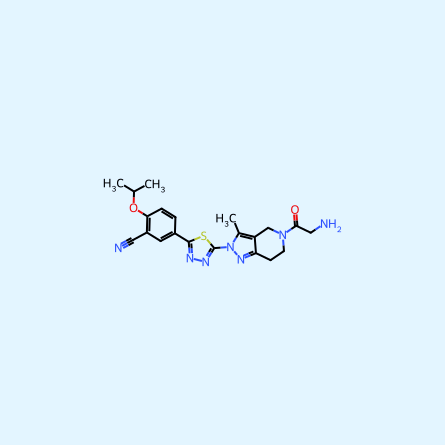 Cc1c2c(nn1-c1nnc(-c3ccc(OC(C)C)c(C#N)c3)s1)CCN(C(=O)CN)C2